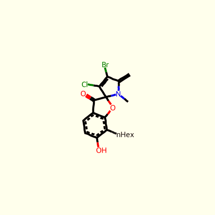 C=C1C(Br)=C(Cl)C2(Oc3c(ccc(O)c3CCCCCC)C2=O)N1C